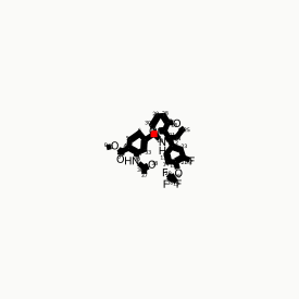 COC(=O)c1ccc(C(=O)NC2(c3ccc(OC(F)(F)F)c(F)c3)CCOc3cccnc32)cc1NC(C)=O